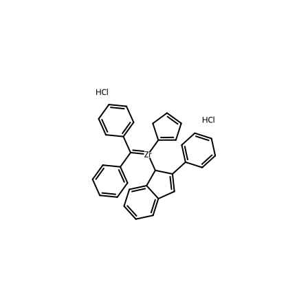 C1=CC[C]([Zr](=[C](c2ccccc2)c2ccccc2)[CH]2C(c3ccccc3)=Cc3ccccc32)=C1.Cl.Cl